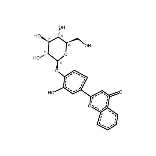 O=c1cc(-c2ccc(O[C@@H]3O[C@H](CO)[C@@H](O)[C@H](O)[C@H]3O)c(O)c2)oc2ccccc12